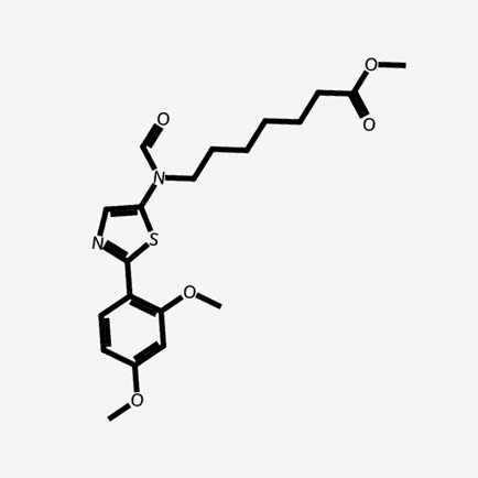 COC(=O)CCCCCCN(C=O)c1cnc(-c2ccc(OC)cc2OC)s1